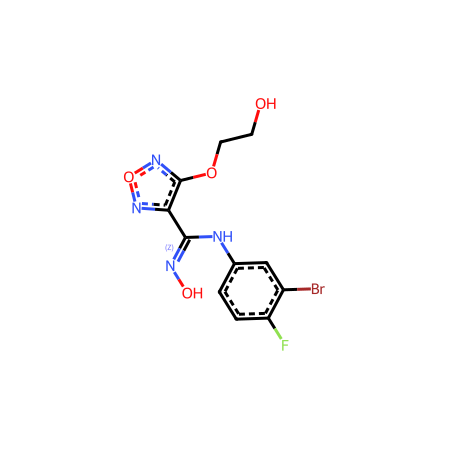 OCCOc1nonc1/C(=N/O)Nc1ccc(F)c(Br)c1